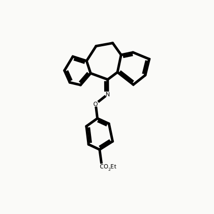 CCOC(=O)c1ccc(ON=C2c3ccccc3CCc3ccccc32)cc1